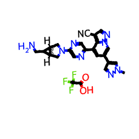 Cn1cc(-c2cc(-c3cnc(N4C[C@@H]5C(CN)[C@@H]5C4)cn3)c3c(C#N)cnn3c2)cn1.O=C(O)C(F)(F)F